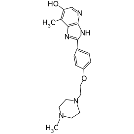 Cc1c(O)cnc2[nH]c(-c3ccc(OCCN4CCN(C)CC4)cc3)nc12